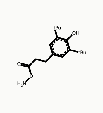 CC(C)(C)c1cc(CCC(=O)ON)cc(C(C)(C)C)c1O